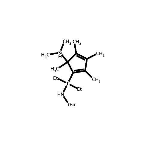 C[CH2][Ti]([CH2]C)([NH]C(C)(C)C)[C]1=C(C)C(C)=C(C)C1(C)[SiH](C)C